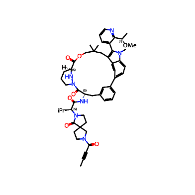 CC#CC(=O)N1CCC2(CCN([C@H](C(=O)N[C@H]3Cc4cccc(c4)-c4ccc5c(c4)c(c(-c4cccnc4[C@H](C)OC)n5C)CC(C)(C)COC(=O)[C@@H]4CCCN(N4)C3=O)C(C)C)C2=O)C1